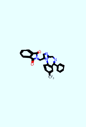 O=C1c2ccccc2C(=O)N1Cc1cnc2n1-c1ccc(C(F)(F)F)cc1C(c1ccccc1)=NC2